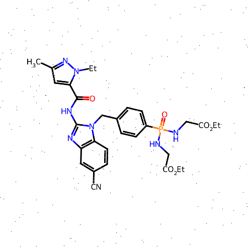 CCOC(=O)CNP(=O)(NCC(=O)OCC)c1ccc(Cn2c(NC(=O)c3cc(C)nn3CC)nc3cc(C#N)ccc32)cc1